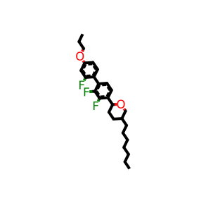 CCCCCCCC1CCC(c2ccc(-c3ccc(OCCC)cc3F)c(F)c2F)OC1